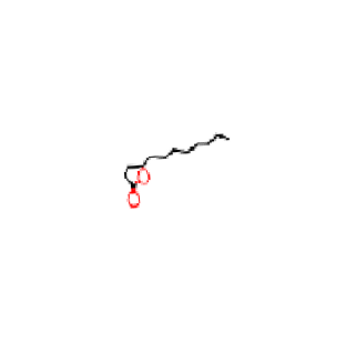 CCCCCCCCC1=CCC(=O)O1